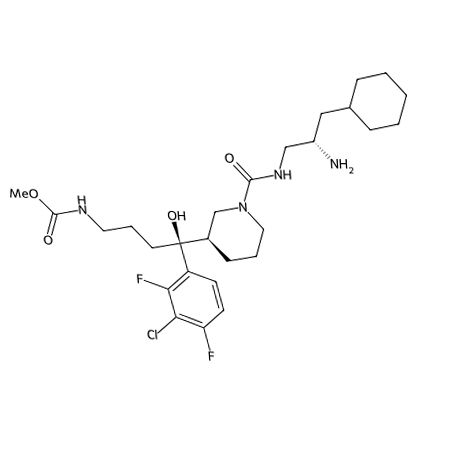 COC(=O)NCCC[C@@](O)(c1ccc(F)c(Cl)c1F)[C@@H]1CCCN(C(=O)NC[C@@H](N)CC2CCCCC2)C1